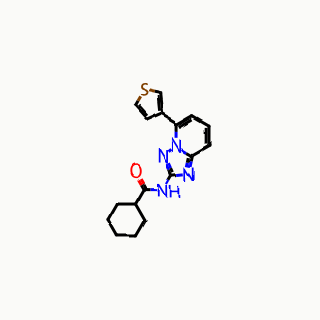 O=C(Nc1nc2cccc(-c3ccsc3)n2n1)C1CCCCC1